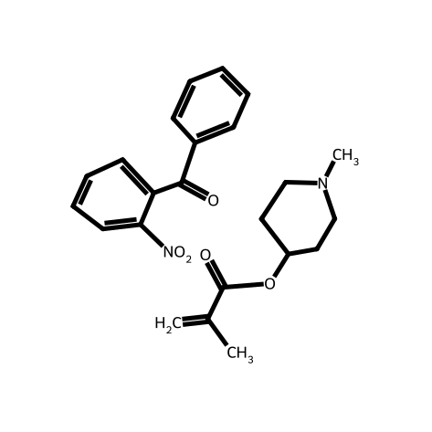 C=C(C)C(=O)OC1CCN(C)CC1.O=C(c1ccccc1)c1ccccc1[N+](=O)[O-]